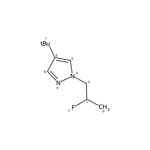 CC(F)Cn1cc(C(C)(C)C)cn1